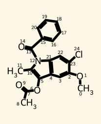 COc1cc2c(OC(C)=O)c(C)n(C(=O)c3ccccc3)c2cc1Cl